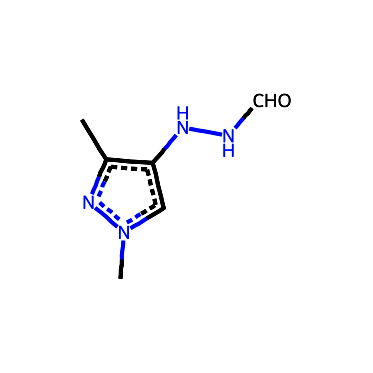 Cc1nn(C)cc1NNC=O